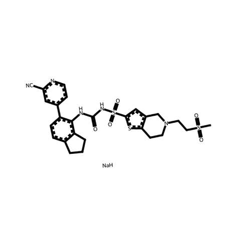 CS(=O)(=O)CCN1CCc2sc(S(=O)(=O)NC(=O)Nc3c(-c4ccnc(C#N)c4)ccc4c3CCC4)cc2C1.[NaH]